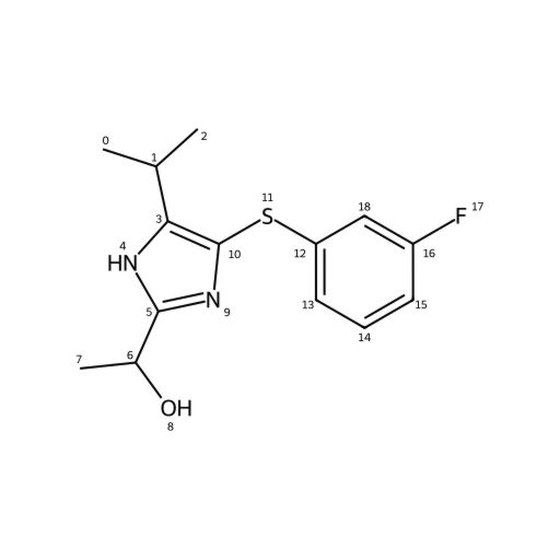 CC(C)c1[nH]c(C(C)O)nc1Sc1cccc(F)c1